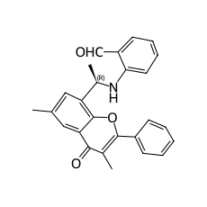 Cc1cc([C@@H](C)Nc2ccccc2C=O)c2oc(-c3ccccc3)c(C)c(=O)c2c1